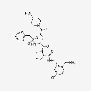 NCc1ccc(Cl)cc1CNC(=O)[C@@H]1CCCN1C(=O)[C@@H](CCC(=O)N1CCC(N)CC1)NS(=O)(=O)Cc1ccccc1